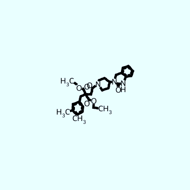 CCOC(=O)C(CC(=O)N1CCC(N2Cc3ccccc3NC2=O)CC1)(Cc1ccc(C)c(C)c1)C(=O)OCC